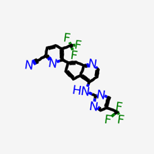 N#Cc1ccc(C(F)(F)F)c(-c2ccc3c(Nc4ncc(C(F)(F)F)cn4)ccnc3c2)n1